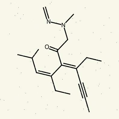 C=NN(C)CC(=O)C(/C(=C\C(C)C)CC)=C(/C#CC)CC